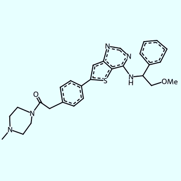 COCC(Nc1ncnc2cc(-c3ccc(CC(=O)N4CCN(C)CC4)cc3)sc12)c1ccccc1